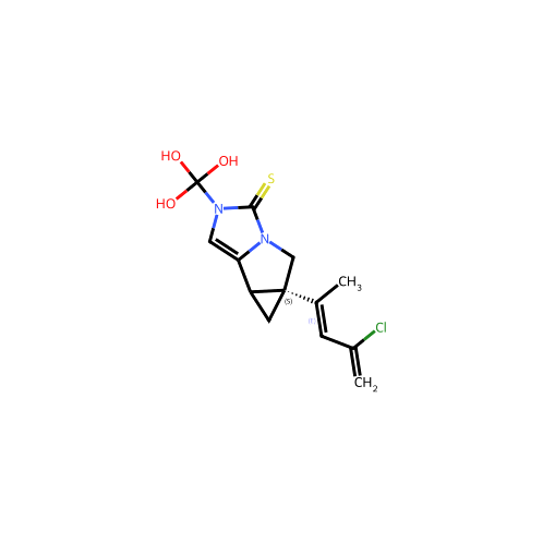 C=C(Cl)/C=C(\C)[C@]12CC1c1cn(C(O)(O)O)c(=S)n1C2